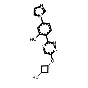 Oc1cc(-n2ccnc2)ccc1-c1ncc(O[C@H]2C[C@@H](O)C2)nn1